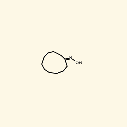 ON=C1CCCCCCCCCC1